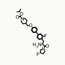 CC(C)OC(=O)N1CCC([C@@H](C)Oc2ccc(-c3ccc(C[C@H](N)C(=O)N4CC[C@H](F)C4)c(F)c3)cc2)CC1